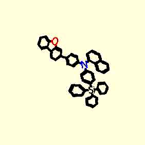 c1ccc([Si](c2ccccc2)(c2ccccc2)c2ccc(N(c3ccc(-c4ccc5c(c4)oc4ccccc45)cc3)c3cccc4ccccc34)cc2)cc1